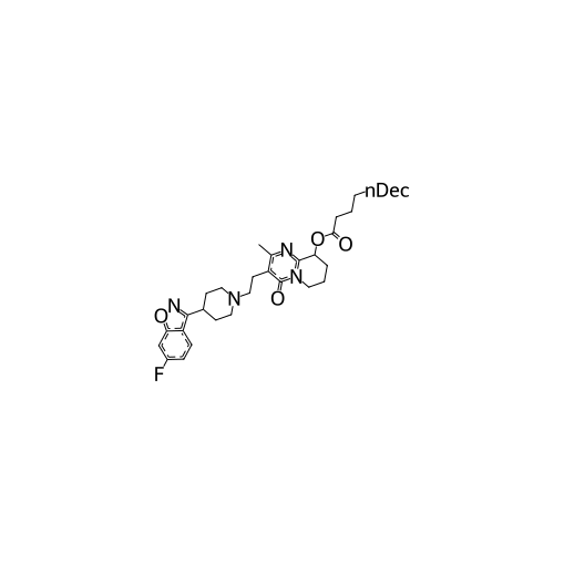 CCCCCCCCCCCCCC(=O)OC1CCCn2c1nc(C)c(CCN1CCC(c3noc4cc(F)ccc34)CC1)c2=O